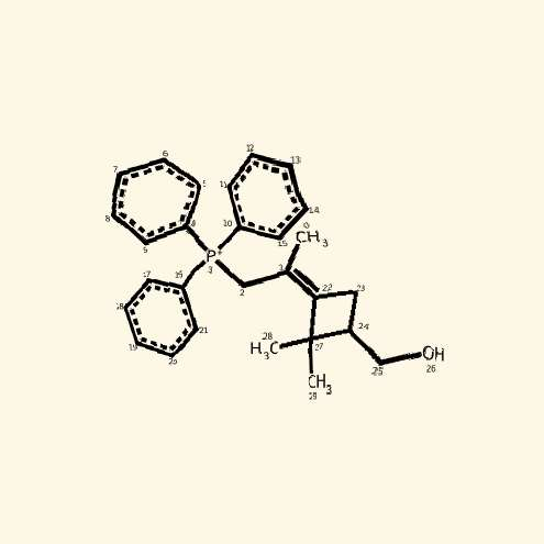 CC(C[P+](c1ccccc1)(c1ccccc1)c1ccccc1)=C1CC(CO)C1(C)C